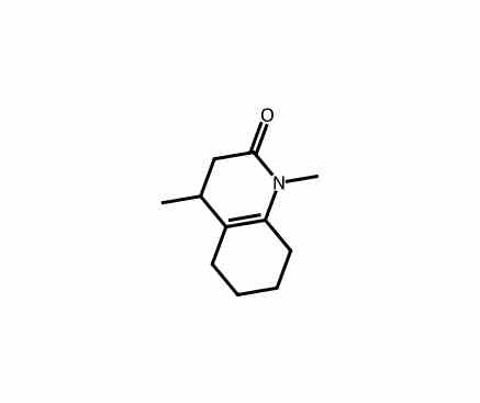 CC1CC(=O)N(C)C2=C1CCCC2